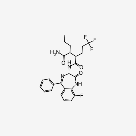 CCCC(C(N)=O)C(CCC(F)(F)F)C(=O)N[C@H]1N=C(c2ccccc2)c2cccc(F)c2NC1=O